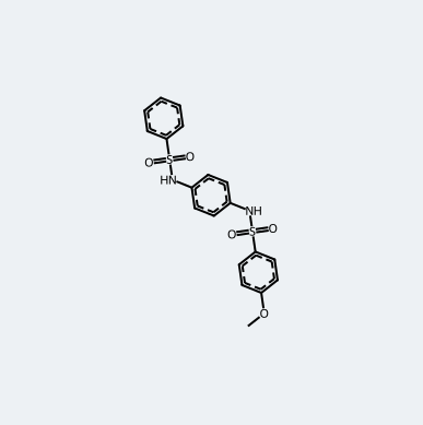 COc1ccc(S(=O)(=O)Nc2ccc(NS(=O)(=O)c3ccccc3)cc2)cc1